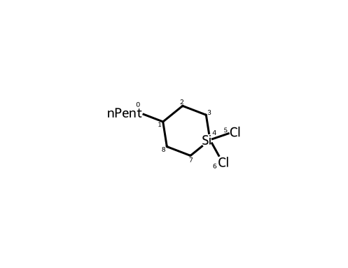 CCCCCC1CC[Si](Cl)(Cl)CC1